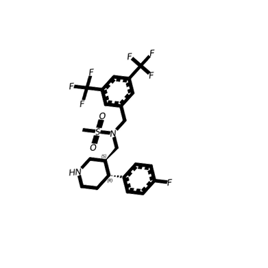 CS(=O)(=O)N(Cc1cc(C(F)(F)F)cc(C(F)(F)F)c1)C[C@@H]1CNCC[C@H]1c1ccc(F)cc1